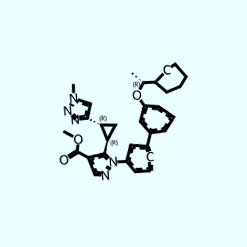 COC(=O)c1cnn(-c2cccc(-c3cccc(O[C@H](C)C4CCCCC4)c3)c2)c1[C@@H]1C[C@H]1c1cn(C)nn1